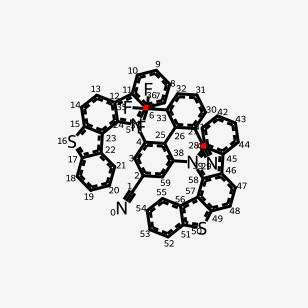 N#Cc1cc(-n2c3ccccc3c3ccc4sc5ccccc5c4c32)c(-c2c(C#N)cccc2C(F)(F)F)c(-n2c3ccccc3c3ccc4sc5ccccc5c4c32)c1